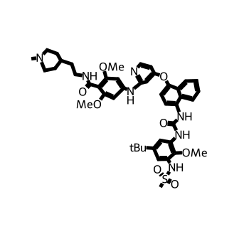 COc1cc(Nc2cc(Oc3ccc(NC(=O)Nc4cc(C(C)(C)C)cc(NS(C)(=O)=O)c4OC)c4ccccc34)ccn2)cc(OC)c1C(=O)NCCC1CCN(C)CC1